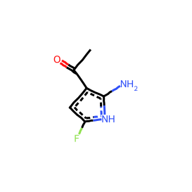 CC(=O)c1cc(F)[nH]c1N